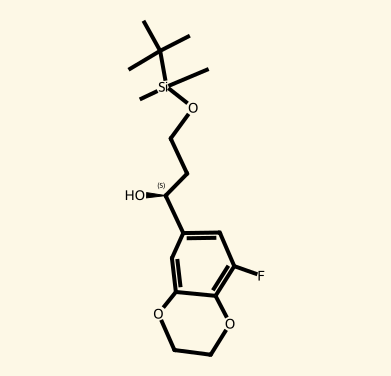 CC(C)(C)[Si](C)(C)OCC[C@H](O)c1cc(F)c2c(c1)OCCO2